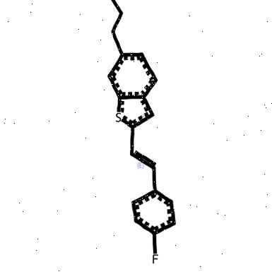 CCCc1ccc2cc(/C=C/c3ccc(F)cc3)sc2c1